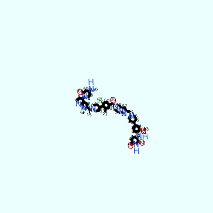 CNc1ccn(-c2ccnc3c2cc([C@H](C)N2CC=C(c4c(C)cc(C(=O)N5CCn6nc(CN7CCC(c8ccc(N[C@H]9CCC(=O)NC9=O)c(OC)c8)CC7)cc6C5)cc4F)CC2)n3C)c(=O)c1